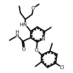 CCC(COC)Nc1cc(C)nc(Oc2c(C)cc(Cl)cc2C)c1C(=O)NC